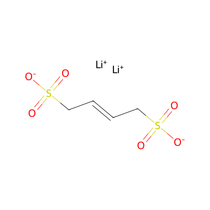 O=S(=O)([O-])CC=CCS(=O)(=O)[O-].[Li+].[Li+]